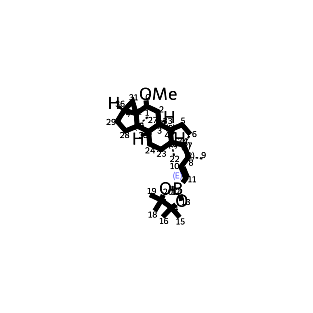 COC1C[C@H]2[C@@H]3CC[C@H]([C@H](C)/C=C/B4OC(C)(C)C(C)(C)O4)[C@@]3(C)CC[C@@H]2[C@@]2(C)CC[C@@H]3CC132